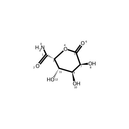 NC(=O)[C@@H]1OC(=O)[C@@H](O)[C@@H](O)[C@@H]1O